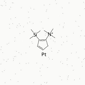 C[N+](C)(C)C1=C([Si](C)(C)C)C=CC1.[Pt]